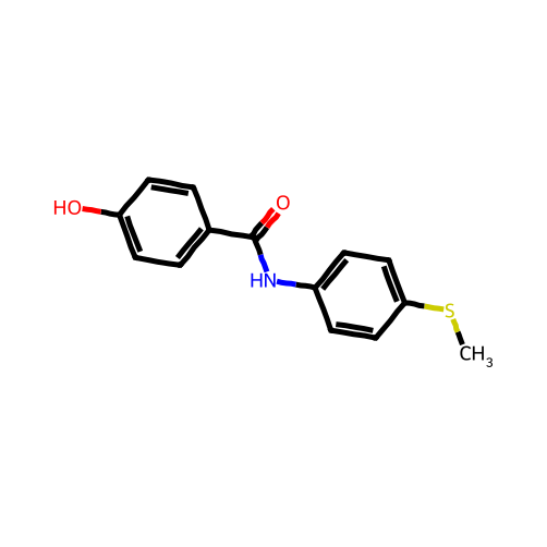 CSc1ccc(NC(=O)c2ccc(O)cc2)cc1